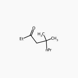 CCCC(C)(C)CC(=O)CC